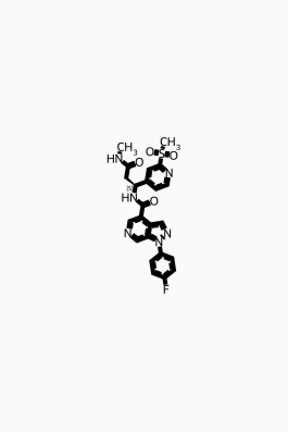 CNC(=O)C[C@H](NC(=O)c1cncc2c1cnn2-c1ccc(F)cc1)c1ccnc(S(C)(=O)=O)c1